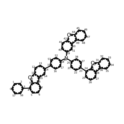 c1ccc(-c2cccc3c2oc2ccc(-c4ccc(N(c5ccc(-c6cccc7c6oc6ccccc67)cc5)c5ccc6oc7ccccc7c6c5)cc4)cc23)cc1